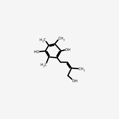 CC(=CCc1c(C)c(O)c(C)c(C)c1O)CO